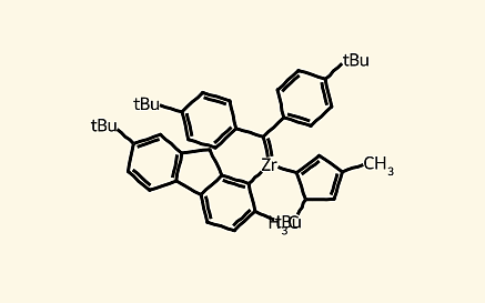 CC1=CC(C)[C]([Zr](=[C](c2ccc(C(C)(C)C)cc2)c2ccc(C(C)(C)C)cc2)[c]2c(C(C)(C)C)ccc3c2Cc2cc(C(C)(C)C)ccc2-3)=C1